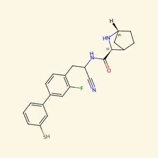 N#CC(Cc1ccc(-c2cccc(S)c2)cc1F)NC(=O)[C@H]1N[C@@H]2CCC1C2